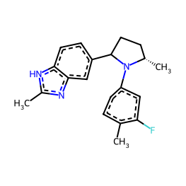 Cc1nc2cc(C3CC[C@H](C)N3c3ccc(C)c(F)c3)ccc2[nH]1